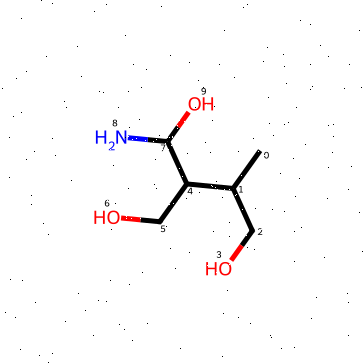 CC(CO)C(CO)C(N)O